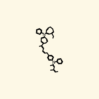 C/C=C(C)\C=C(/C)N(c1ccccc1)c1ccc(C/C=C\C=C(/C)C2=CC=C(N(C3=C/C(CC)=C\CC/C=C\3)c3ccccc3)C=CC2)cc1